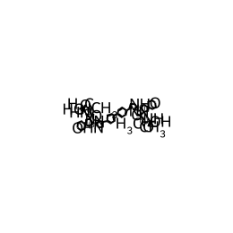 CC(C)[C@H](NC(=O)O)C(=O)N1CC2(CCOCC2)C[C@H]1c1nc(-c2ccc(-c3ccc(-c4c[nH]c([C@@H]5CC6(CCOCC6)CN5C(=O)[C@@H](NC(=O)O)C(C)C)n4)cc3)cc2)c[nH]1